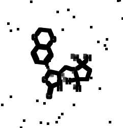 [2H]C1([2H])CCC([2H])([2H])N1C[C@H]1NC(=O)O[C@@H]1c1ccc2c(c1)OCCO2